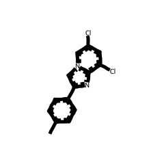 Cc1ccc(-c2cn3cc(Cl)cc(Cl)c3n2)cc1